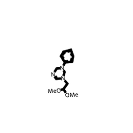 COC(CN1C=NCN(c2ccccc2)C1)OC